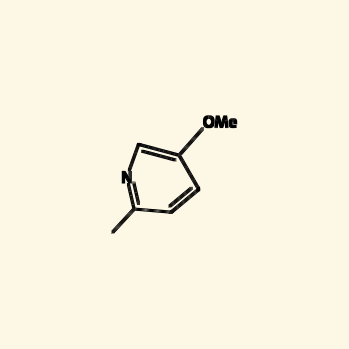 [CH2]Oc1ccc(C)nc1